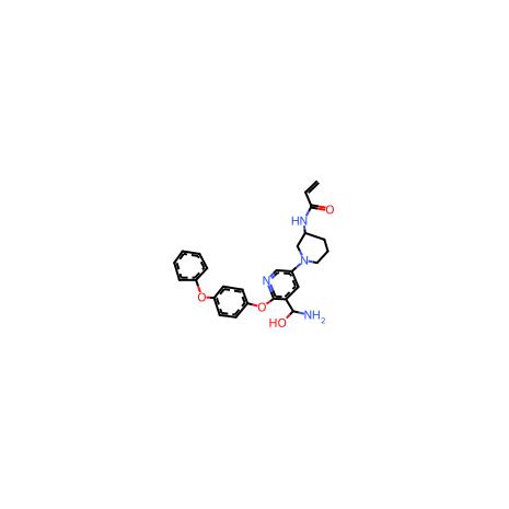 C=CC(=O)NC1CCCN(c2cnc(Oc3ccc(Oc4ccccc4)cc3)c(C(N)O)c2)C1